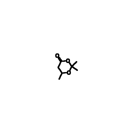 CC1CC(=O)OC(C)(C)O1